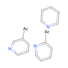 CC(=O)c1ccccn1.CC(=O)c1cccnc1.c1ccncc1